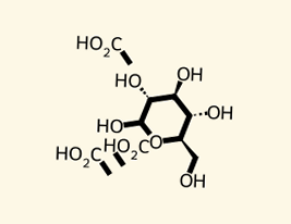 CC(=O)O.CC(=O)O.CC(=O)O.OC[C@H]1OC(O)[C@H](O)[C@@H](O)[C@@H]1O